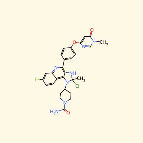 Cn1cnc(Oc2ccc(-c3nc4cc(F)ccc4c4c3NC(C)(Cl)N4C3CCN(C(N)=O)CC3)cc2)cc1=O